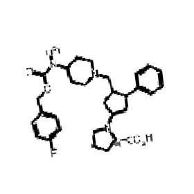 CCCN(C(=O)OCc1ccc(F)cc1)C1CCN(CC2CC(N3CCC[C@@H]3C(=O)O)CC2c2ccccc2)CC1